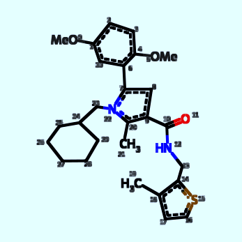 COc1ccc(OC)c(-c2cc(C(=O)NCc3sccc3C)c(C)n2CC2CCCCC2)c1